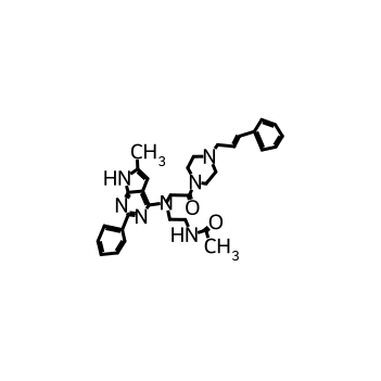 CC(=O)NCCN(CC(=O)N1CCN(CC=Cc2ccccc2)CC1)c1nc(-c2ccccc2)nc2[nH]c(C)cc12